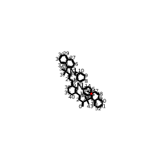 C=C(/C=C/C1=C(N(c2ccccc2)c2ccccc2)C(=C/C=C2\N(C)c3ccc4ccccc4c3C2(C)C)/CCC1)C(C)(C)c1c(C)ccc2ccccc12